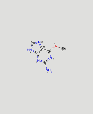 CCC(C)Oc1nc(N)nc2[nH]cnc12